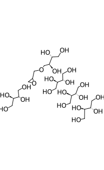 OC[C@@H](O)[C@@H](O)CO.OC[C@@H](O)[C@@H](O)CO.OC[C@@H](O)[C@@H](O)CO.OC[C@@H](O)[C@@H](O)CO.OC[C@@H](O)[C@@H](O)COCC1CO1